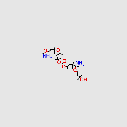 CC(N)OCCC(C)(C)OC(C)CC(C)(C)OC(=O)OC(C)CC(C)(C)C(C)(N)OCCC(C)(C)O